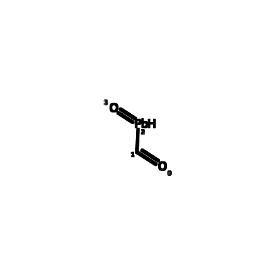 O=[CH][PbH]=[O]